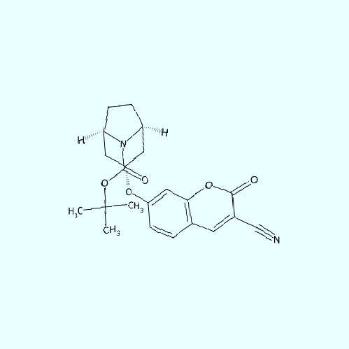 CC(C)(C)OC(=O)N1[C@@H]2CC[C@H]1C[C@H](Oc1ccc3cc(C#N)c(=O)oc3c1)C2